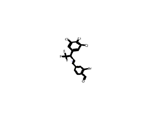 O=Cc1ccc(/C=C/C(c2cc(Cl)c(Cl)c(Cl)c2)C(F)(F)F)cc1Br